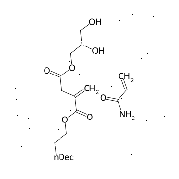 C=C(CC(=O)OCC(O)CO)C(=O)OCCCCCCCCCCCC.C=CC(N)=O